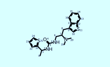 CC(NC(=O)NCC(Cc1csc2ccccc12)N(C)C)c1cccs1